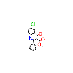 CCOC(=O)C1C(=O)c2cc(Cl)ccc2N=C1c1ccccc1